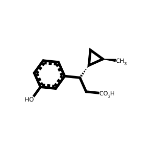 C[C@@H]1C[C@H]1C(CC(=O)O)c1cccc(O)c1